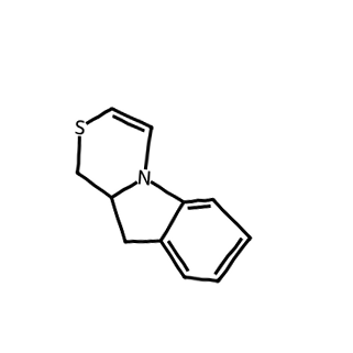 C1=CN2c3ccccc3CC2CS1